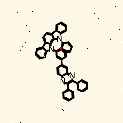 c1ccc(-c2nc3ccc(-c4cccc(-n5c6ccccc6c6ccc7c8ccccc8n(-c8ccccc8)c7c65)c4)cc3nc2-c2ccccc2)cc1